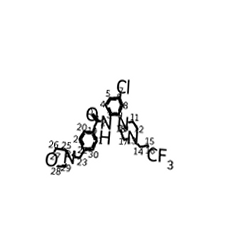 O=C(Nc1ccc(Cl)cc1N1CCN(CCC(F)(F)F)CC1)c1ccc(CN2CCOCC2)cc1